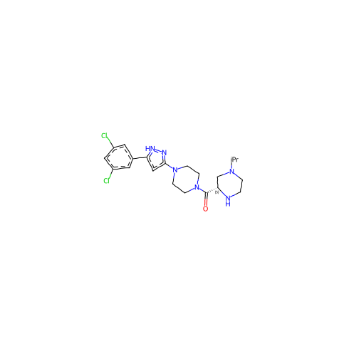 CC(C)N1CCN[C@H](C(=O)N2CCN(c3cc(-c4cc(Cl)cc(Cl)c4)[nH]n3)CC2)C1